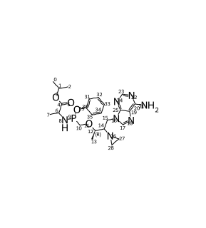 CC(C)OC(=O)C(C)NP(CO[C@H](C)C(Cn1cnc2c(N)ncnc21)N1CC1)Oc1ccccc1